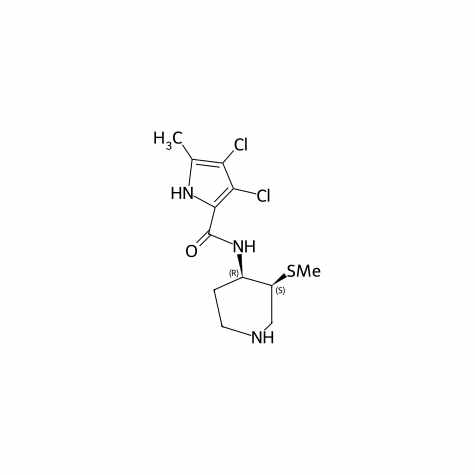 CS[C@H]1CNCC[C@H]1NC(=O)c1[nH]c(C)c(Cl)c1Cl